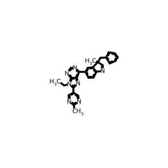 CCn1c(-c2cnc(C)nc2)nc2c(-c3ccc4c(c3)C(C)(Cc3ccccc3)C=N4)ncnc21